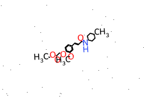 CCOC(=O)COc1ccc(C=CC(=O)N[C@H]2CC[C@H](C)CC2)cc1OC